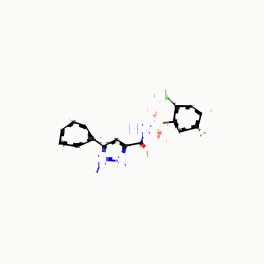 Cn1nc(C(=O)NS(=O)(=O)c2cc(Cl)ccc2Cl)cc1-c1ccccc1